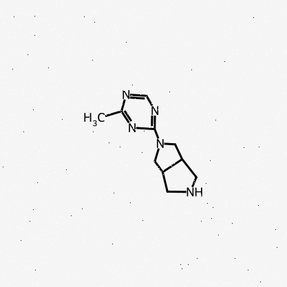 Cc1ncnc(N2CC3CNCC3C2)n1